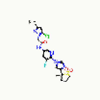 C[C@]1(c2cn(-c3ncc(NC(=O)Cn4nc(C(F)(F)F)cc4Cl)cc3F)cn2)CCCS1(=O)=O